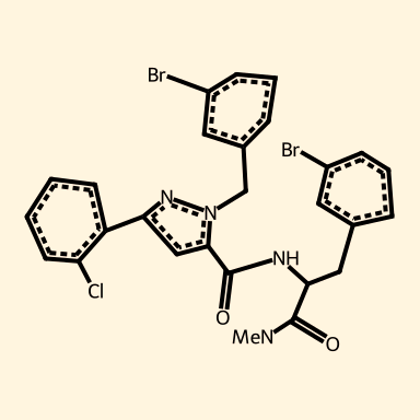 CNC(=O)C(Cc1cccc(Br)c1)NC(=O)c1cc(-c2ccccc2Cl)nn1Cc1cccc(Br)c1